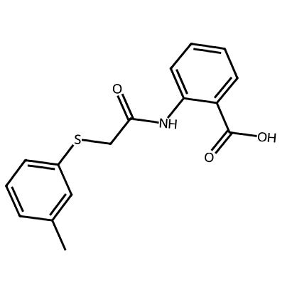 Cc1cccc(SCC(=O)Nc2ccccc2C(=O)O)c1